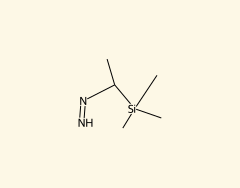 CC(N=N)[Si](C)(C)C